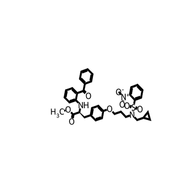 COC(=O)[C@H](Cc1ccc(OCCCN(CC2CC2)S(=O)(=O)c2ccccc2[N+](=O)[O-])cc1)Nc1ccccc1C(=O)c1ccccc1